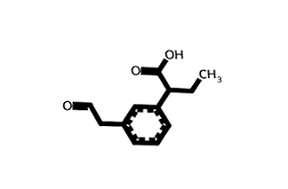 CCC(C(=O)O)c1cccc(CC=O)c1